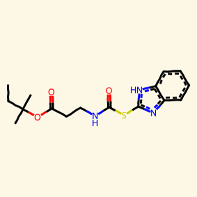 CCC(C)(C)OC(=O)CCNC(=O)Sc1nc2ccccc2[nH]1